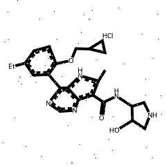 CCc1ccc(OCC2CC2)c(-c2ncnc3c(C(=O)NC4CNCC4O)c(C)[nH]c23)c1.Cl